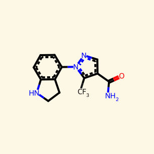 NC(=O)c1cnn(-c2cccc3c2CCN3)c1C(F)(F)F